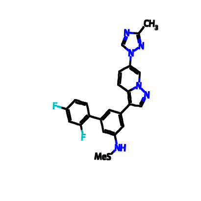 CSNc1cc(-c2ccc(F)cc2F)cc(-c2cnn3cc(-n4cnc(C)n4)ccc23)c1